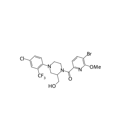 COc1nc(C(=O)N2CCN(c3ccc(Cl)cc3C(F)(F)F)CC2CO)ccc1Br